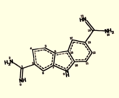 N=C(N)c1ccc2c(c1)[nH]c1ccc(C(=N)N)cc12